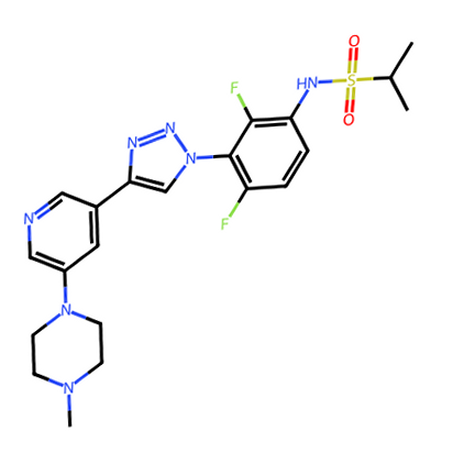 CC(C)S(=O)(=O)Nc1ccc(F)c(-n2cc(-c3cncc(N4CCN(C)CC4)c3)nn2)c1F